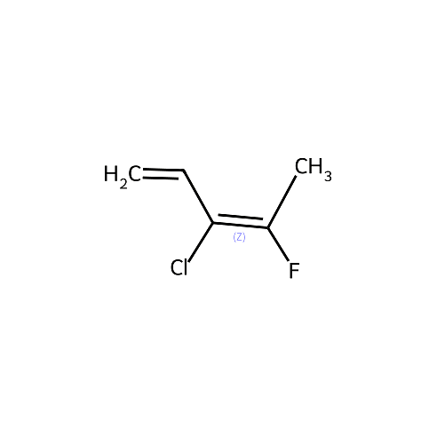 C=C/C(Cl)=C(\C)F